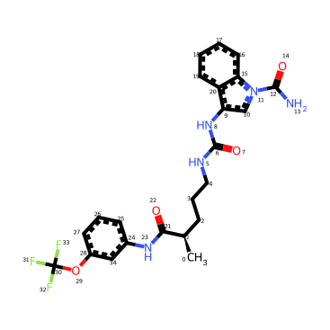 C[C@H](CCCNC(=O)Nc1cn(C(N)=O)c2ccccc12)C(=O)Nc1cccc(OC(F)(F)F)c1